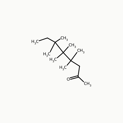 CCC(C)(C)C(C)(C)C(C)(C)CC(C)=O